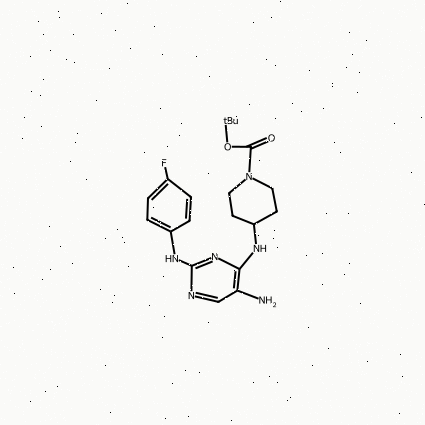 CC(C)(C)OC(=O)N1CCC(Nc2nc(Nc3ccc(F)cc3)ncc2N)CC1